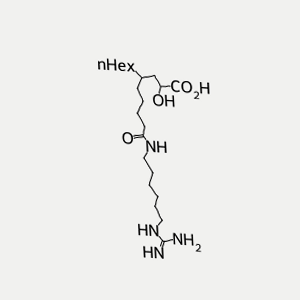 CCCCCCC(CCCCC(=O)NCCCCCCNC(=N)N)CC(O)C(=O)O